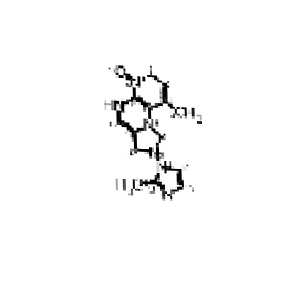 CC1=CC[N+](=O)C2=C1N1CN(n3ccnc3C)CC1=CN2